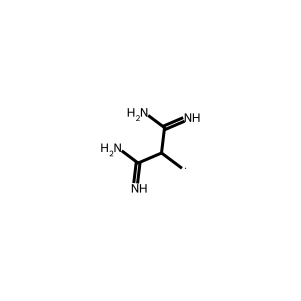 [CH2]C(C(=N)N)C(=N)N